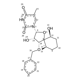 Cc1cn([C@@H]2OC3([C@H](C)CCC[C@@H]3O)[C@H](OCc3ccccc3)[C@@H]2O)c(=O)[nH]c1=O